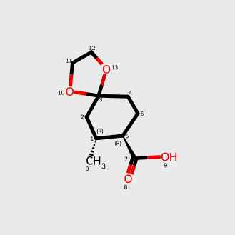 C[C@@H]1CC2(CC[C@H]1C(=O)O)OCCO2